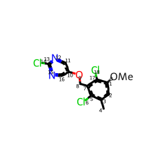 COc1cc(C)c(Cl)c(COc2cnc(Cl)nc2)c1Cl